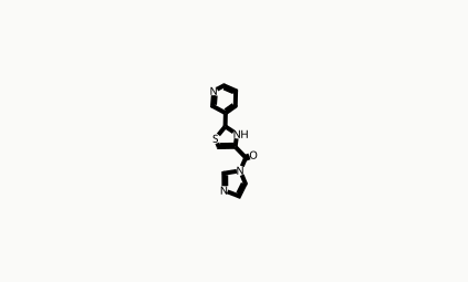 O=C(C1=CSC(c2cccnc2)N1)n1ccnc1